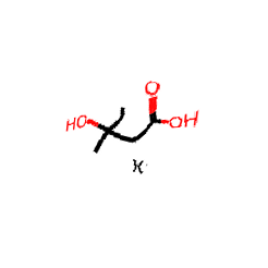 CC(C)(O)CC(=O)O.[K]